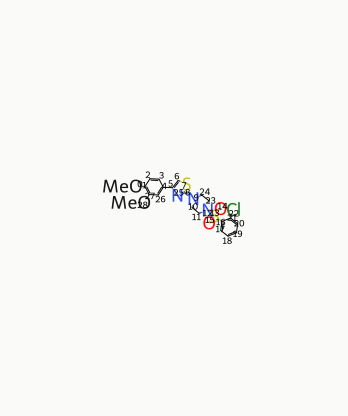 COc1ccc(-c2csc(N3CCN(S(=O)(=O)c4ccccc4Cl)CC3)n2)cc1OC